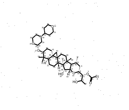 CCC(=O)O[C@H](C(C)O)[C@H]1C[C@@H](C)C2[C@H](O1)[C@H](O)[C@@]1(C)[C@@H]3CC[C@H]4C(C)(C)[C@@H](O[C@H]5CN(C6CCOCC6)CCO5)CC[C@@]45C[C@@]35CC[C@]21C